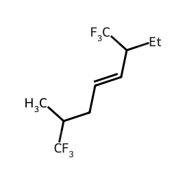 CCC(C=CCC(C)C(F)(F)F)C(F)(F)F